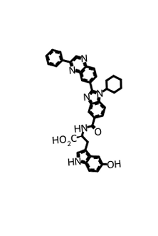 O=C(N[C@@H](Cc1c[nH]c2ccc(O)cc12)C(=O)O)c1ccc2c(c1)nc(-c1ccc3ncc(-c4ccccc4)nc3c1)n2C1CCCCC1